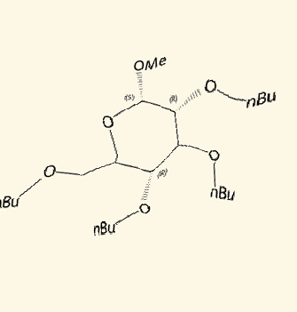 CCCCOCC1O[C@H](OC)[C@H](OCCCC)C(OCCCC)[C@@H]1OCCCC